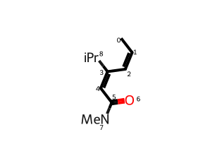 C/C=C\C(=C/C(=O)NC)C(C)C